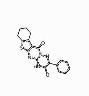 O=c1[nH]c2nc3sc4c(c3c(=O)n2nc1-c1ccccc1)CCCC4